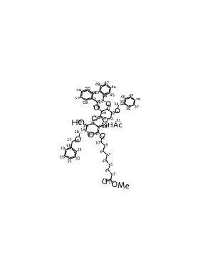 COC(=O)CCCCCCCCO[C@@H]1O[C@H](COCc2ccccc2)[C@@H](O)[C@H](OC2O[C@@H](C)[C@@H](OCc3ccccc3)[C@@H](OCc3ccccc3)[C@@H]2OCc2ccccc2)[C@H]1NC(C)=O